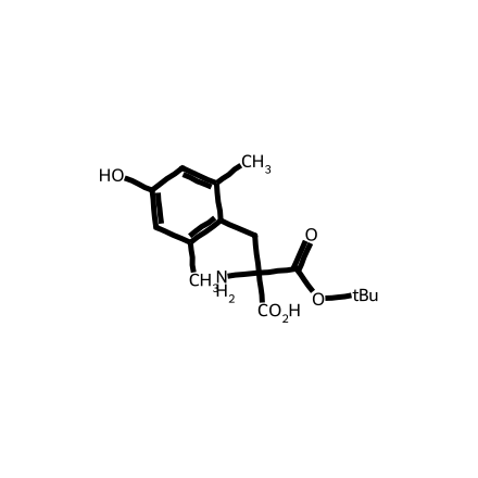 Cc1cc(O)cc(C)c1CC(N)(C(=O)O)C(=O)OC(C)(C)C